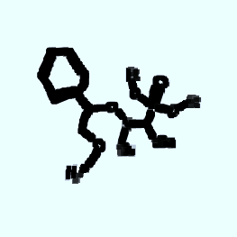 CCOP(=O)(OCC)C(N(OC(COP)c1ccccc1)C(C)(C)C)C(C)(C)C